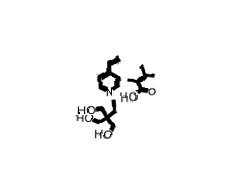 C=Cc1ccncc1.CC(C)=C(C)C(=O)O.CCC(CO)(CO)CO